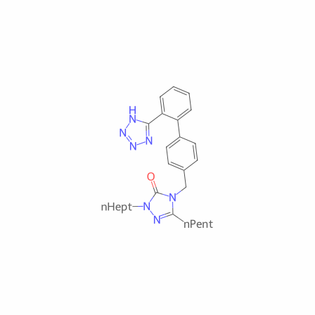 CCCCCCCn1nc(CCCCC)n(Cc2ccc(-c3ccccc3-c3nnn[nH]3)cc2)c1=O